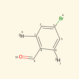 [2H]c1cc(Br)cc([2H])c1C=O